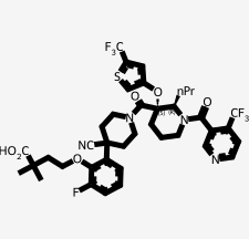 CCC[C@H]1N(C(=O)c2cnccc2C(F)(F)F)CCC[C@@]1(Oc1csc(C(F)(F)F)c1)C(=O)N1CCC(C#N)(c2cccc(F)c2OCCC(C)(C)C(=O)O)CC1